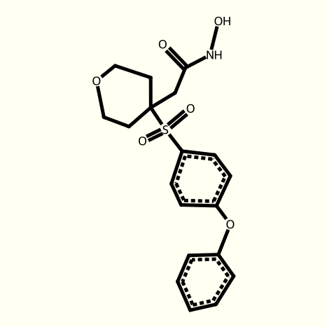 O=C(CC1(S(=O)(=O)c2ccc(Oc3ccccc3)cc2)CCOCC1)NO